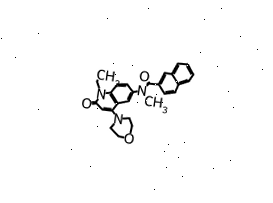 CCn1c(=O)cc(N2CCOCC2)c2cc(N(C)C(=O)c3ccc4ccccc4c3)ccc21